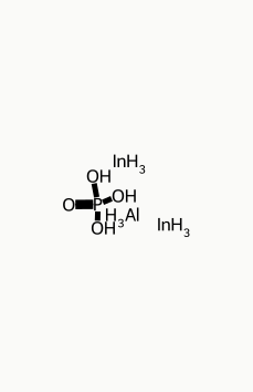 O=P(O)(O)O.[AlH3].[InH3].[InH3]